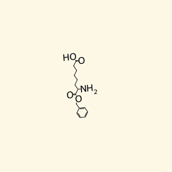 NC(CCCCCC(=O)O)C(=O)OCc1ccccc1